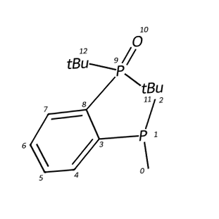 CP(C)c1ccccc1P(=O)(C(C)(C)C)C(C)(C)C